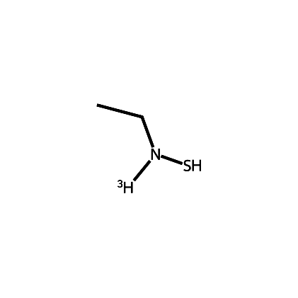 [3H]N(S)CC